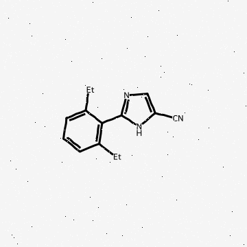 CCc1cccc(CC)c1-c1ncc(C#N)[nH]1